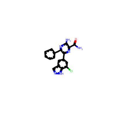 NC(=O)c1nc(-c2cc(Cl)c3[nH]ncc3c2)c(-c2ccccc2)nc1N